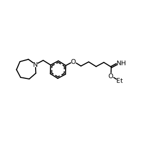 CCOC(=N)CCCCOc1cccc(CN2CCCCCC2)c1